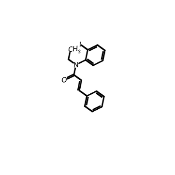 CCN(C(=O)C=Cc1ccccc1)c1ccccc1I